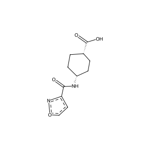 O=C(N[C@H]1CC[C@@H](C(=O)O)CC1)c1ccon1